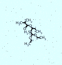 C=C(C)C(=O)OC(CC)[SiH2]C(OCC)OCC